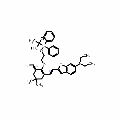 CCN(CC)c1ccc2cc(/C=C/C3=C(OCCO[Si](c4ccccc4)(c4ccccc4)C(C)(C)C)C(=C/O)/CC(C)(C)C3)oc2c1